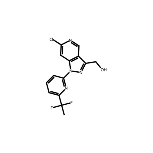 CC(F)(F)c1cccc(-n2nc(CO)c3cnc(Cl)cc32)n1